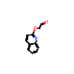 O=[C]COc1ccc2ccccc2n1